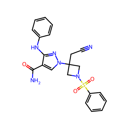 N#CCC1(n2cc(C(N)=O)c(Nc3ccccc3)n2)CN(S(=O)(=O)c2ccccc2)C1